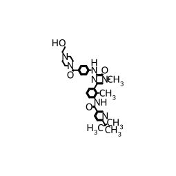 Cc1c(NC(=O)c2ccc(C(C)(C)C)nc2)cccc1-c1cn(C)c(=O)c(Nc2ccc(C(=O)N3CCN(CCO)CC3)cc2)n1